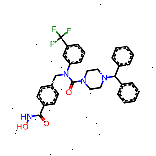 O=C(NO)c1ccc(CN(C(=O)N2CCN(C(c3ccccc3)c3ccccc3)CC2)c2cccc(C(F)(F)F)c2)cc1